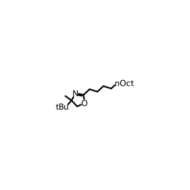 CCCCCCCCCCCCC1=NC(C)(C(C)(C)C)CO1